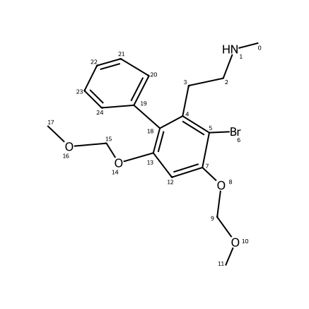 CNCCc1c(Br)c(OCOC)cc(OCOC)c1-c1ccccc1